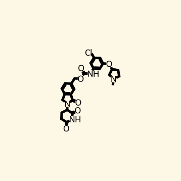 CN1CCC(Oc2cc(Cl)cc(NC(=O)OCc3ccc4c(c3)C(=O)N(C3CCC(=O)NC3=O)C4)c2)C1